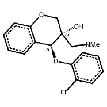 CNC[C@]1(O)COc2ccccc2[C@@H]1Oc1ccccc1Cl